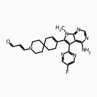 Cn1c(C2=CCC3(CC2)CCN(C=CC=O)CC3)c(-c2ncc(F)cn2)c2c(N)ncnc21